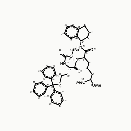 COC(CCCC(NC(=O)[C@H](CCSC(c1ccccc1)(c1ccccc1)c1ccccc1)NC(=O)OC(C)(C)C)C(=O)N[C@@H]1CCCc2ccccc21)OC